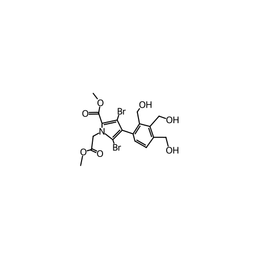 COC(=O)Cn1c(Br)c(-c2ccc(CO)c(CO)c2CO)c(Br)c1C(=O)OC